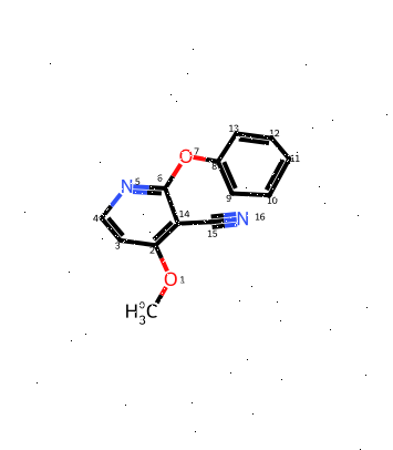 COc1ccnc(Oc2cc[c]cc2)c1C#N